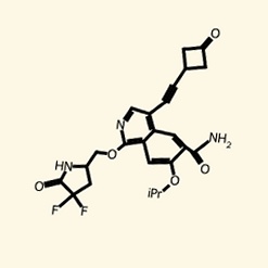 CC(C)Oc1cc2c(OCC3CC(F)(F)C(=O)N3)ncc(C#CC3CC(=O)C3)c2cc1C(N)=O